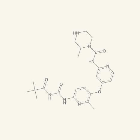 Cc1nc(NC(=O)NC(=O)C(C)(C)C)ccc1Oc1ccnc(NC(=O)N2CCNCC2C)c1